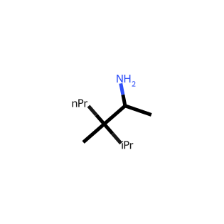 CCCC(C)(C(C)C)C(C)N